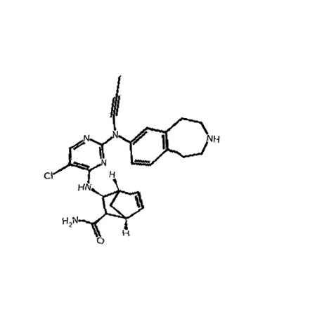 CC#CN(c1ccc2c(c1)CCNCC2)c1ncc(Cl)c(N[C@@H]2[C@H](C(N)=O)[C@H]3C=C[C@@H]2C3)n1